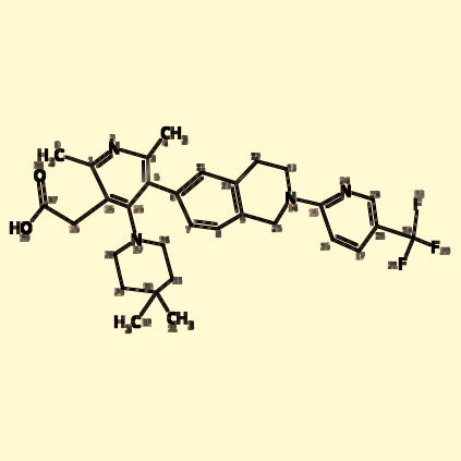 Cc1nc(C)c(-c2ccc3c(c2)CCN(c2ccc(C(F)(F)F)cn2)C3)c(N2CCC(C)(C)CC2)c1CC(=O)O